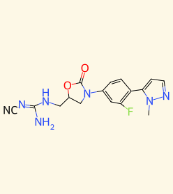 Cn1nccc1-c1ccc(N2CC(CN/C(N)=N/C#N)OC2=O)cc1F